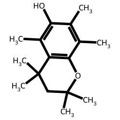 Cc1c(C)c2c(c(C)c1O)C(C)(C)CC(C)(C)O2